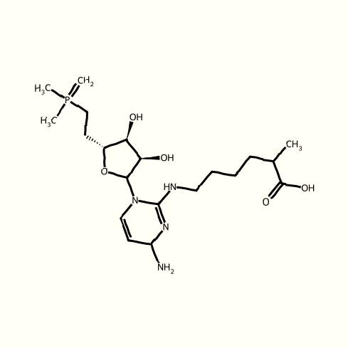 C=P(C)(C)CC[C@H]1OC(N2C=CC(N)N=C2NCCCCC(C)C(=O)O)[C@H](O)[C@@H]1O